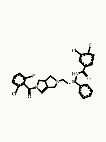 O=C(N[C@@H](CCN1CC2=CN(C(=O)c3c(F)cccc3Cl)CC2C1)c1ccccc1)c1ccc(F)c(Cl)c1